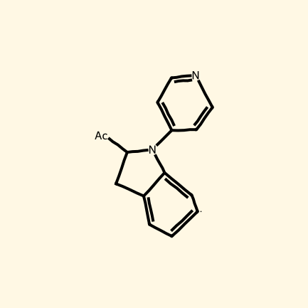 CC(=O)C1Cc2cc[c]cc2N1c1ccncc1